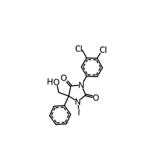 O=C1N(c2ccc(Cl)c(Cl)c2)C(=O)C(CO)(c2ccccc2)N1I